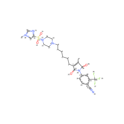 CC1=C(CCCCCCN2CCN(S(=O)(=O)c3cn(C)cn3)CC2)C(=O)N(c2ccc(C#N)c(C(F)(F)F)c2)C1=O